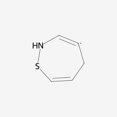 [C]1=CNSC=CC1